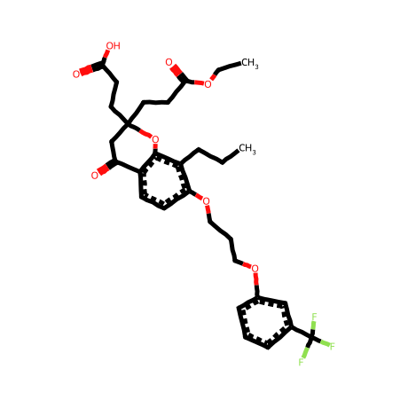 CCCc1c(OCCCOc2cccc(C(F)(F)F)c2)ccc2c1OC(CCC(=O)O)(CCC(=O)OCC)CC2=O